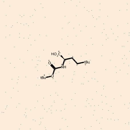 CC(C)(C)CC[C@@H](NC(=O)OC(C)(C)C)C(=O)O